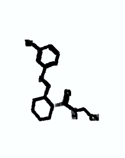 N#CCNC(=O)[C@@H]1CCCC[C@H]1CSc1cccc(Br)c1